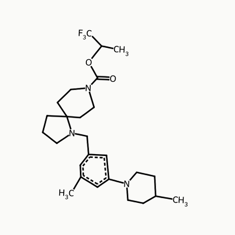 Cc1cc(CN2CCCC23CCN(C(=O)OC(C)C(F)(F)F)CC3)cc(N2CCC(C)CC2)c1